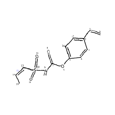 C=Cc1ccc(OC(=O)NS(=O)(=O)/C=C\C)cc1